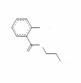 CCCCCCCCCCCOC(=O)c1ccccc1C(=O)O